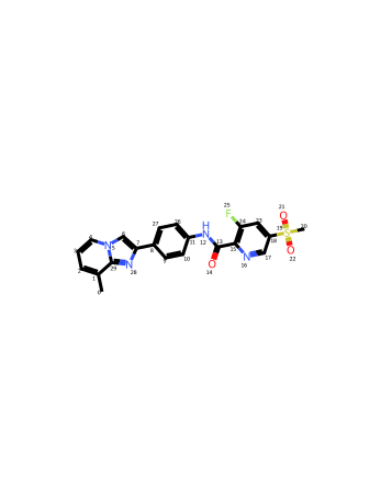 Cc1cccn2cc(-c3ccc(NC(=O)c4ncc(S(C)(=O)=O)cc4F)cc3)nc12